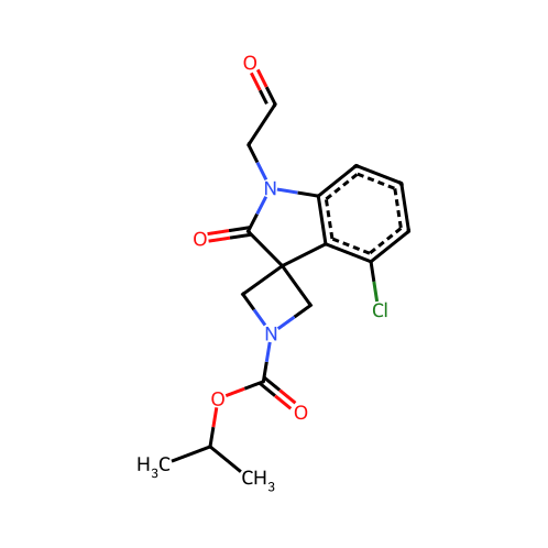 CC(C)OC(=O)N1CC2(C1)C(=O)N(CC=O)c1cccc(Cl)c12